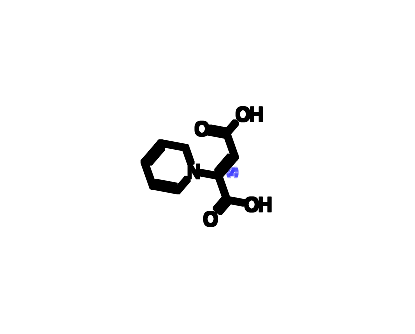 O=C(O)/C=C(/C(=O)O)N1C=CC=CC1